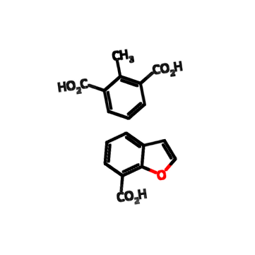 Cc1c(C(=O)O)cccc1C(=O)O.O=C(O)c1cccc2ccoc12